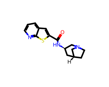 O=C(N[C@@H]1C[C@H]2CCN(C2)C1)c1cc2cccnc2s1